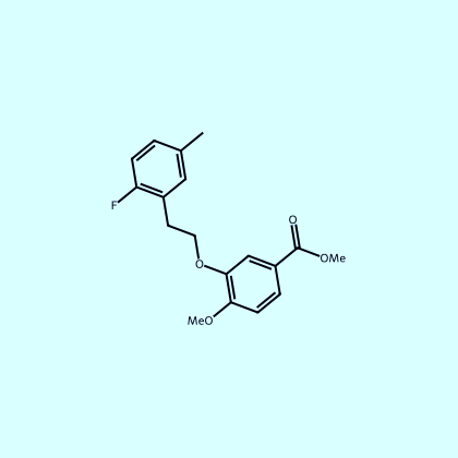 COC(=O)c1ccc(OC)c(OCCc2cc(C)ccc2F)c1